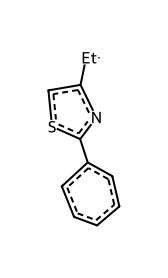 C[CH]c1csc(-c2ccccc2)n1